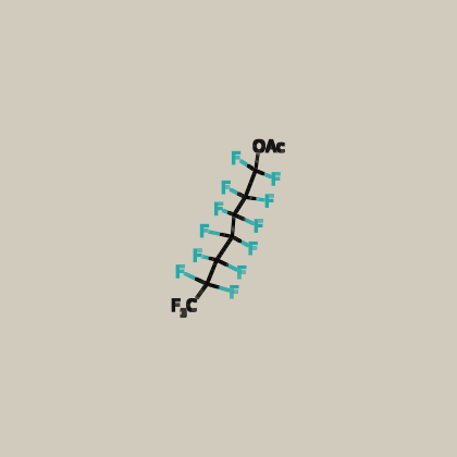 CC(=O)OC(F)(F)C(F)(F)C(F)(F)C(F)(F)C(F)(F)C(F)(F)C(F)(F)F